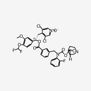 COc1cc([C@H](Cc2c(Cl)c[n+]([O-])cc2Cl)OC(=O)c2cccc(CN(C(=O)O[C@H]3CN4CCC3CC4)c3ccccc3F)c2)ccc1OC(F)F